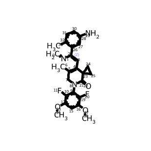 C=N/C(=C\C1=C(C)CN(c2c(F)c(OC)cc(OC)c2F)C(=O)C12CC2)c1cc(N)ccc1C